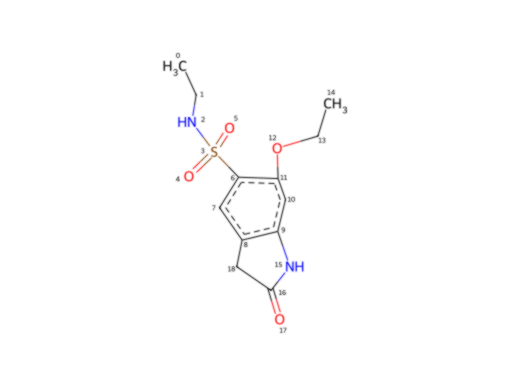 CCNS(=O)(=O)c1cc2c(cc1OCC)NC(=O)C2